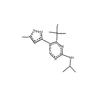 Cc1cc(-c2cnc(NC(C)C)nc2C(C)(C)C)on1